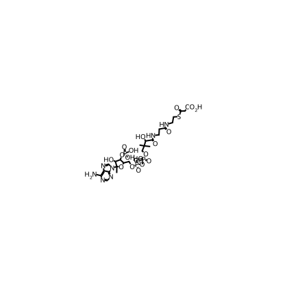 CC(C)(COP(=O)(O)OP(=O)(O)OCC1OC(C)(n2cnc3c(N)ncnc32)C(O)C1OP(=O)(O)O)C(O)C(=O)NCCC(=O)NCCSC(=O)CC(=O)O